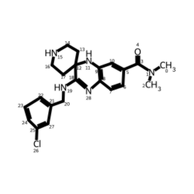 CN(C)C(=O)c1ccc2c(c1)NC1(CCNCC1)C(NCc1cccc(Cl)c1)=N2